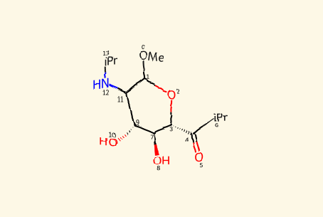 COC1O[C@H](C(=O)C(C)C)[C@@H](O)[C@H](O)C1NC(C)C